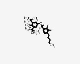 CCCCCc1ccc(C(F)(F)Oc2cc(C(C)(C)C)c(O)c(C(C)(C)C)c2)c(F)c1F